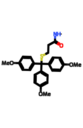 COc1ccc(C(SCCC([NH])=O)(c2ccc(OC)cc2)c2ccc(OC)cc2)cc1